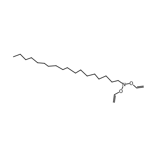 C=CON(CCCCCCCCCCCCCCCCCC)OC=C